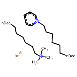 CCCCCCCCCCCCCCCC[N+](C)(C)C.CCCCCCCCCCCCCCCC[n+]1ccccc1.[Br-].[Br-]